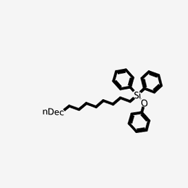 CCCCCCCCCCCCCCCCCC[Si](Oc1ccccc1)(c1ccccc1)c1ccccc1